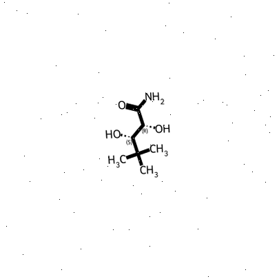 CC(C)(C)[C@H](O)[C@@H](O)C(N)=O